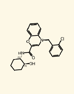 O=C(N[C@H]1CCCC[C@@H]1O)C1=CN(Cc2ccccc2Cl)c2ccccc2O1